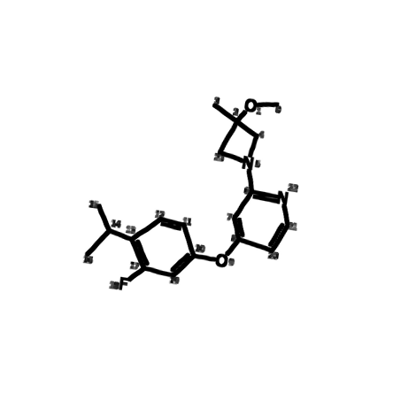 COC1(C)CN(c2cc(Oc3ccc(C(C)C)c(F)c3)ccn2)C1